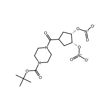 CC(C)(C)OC(=O)N1CCN(C(=O)C2C[C@H](O[N+](=O)[O-])[C@H](O[N+](=O)[O-])C2)CC1